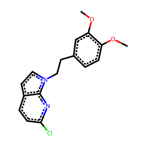 COc1ccc(CCn2ccc3ccc(Cl)nc32)cc1OC